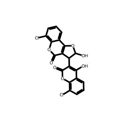 O=c1oc2c(Cl)cccc2c(O)c1C1c2c(c3cccc(Cl)c3oc2=O)OC1O